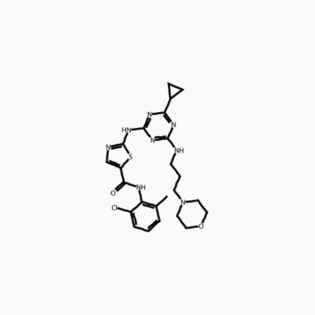 Cc1cccc(Cl)c1NC(=O)c1cnc(Nc2nc(NCCCN3CCOCC3)nc(C3CC3)n2)s1